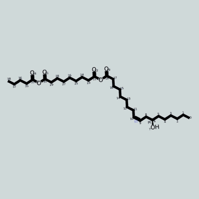 CCCCCC[C@@H](O)C/C=C\CCCCCCCC(=O)OC(=O)CCCCCCCC(=O)OC(=O)CCCC